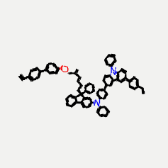 C=Cc1ccc(-c2ccc(OCC(C)CCCCC3(c4ccccc4)c4ccccc4-c4ccc(N(c5ccccc5)c5ccc(-c6ccc7c(c6)c6cc(-c8ccc(C=C)cc8)ccc6n7-c6ccccc6)cc5)cc43)cc2)cc1